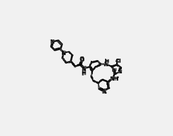 O=C(CC1CCN(c2ccncc2)CC1)Nc1ccc2cc1CCC1C=NC=C(C1)Nc1ncc(Cl)c(n1)N2